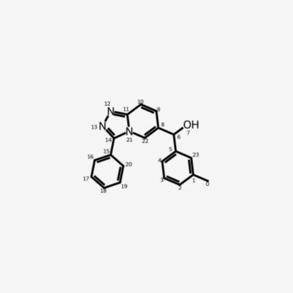 Cc1cccc(C(O)c2ccc3nnc(-c4ccccc4)n3c2)c1